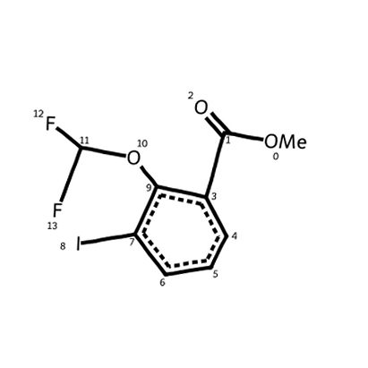 COC(=O)c1cccc(I)c1OC(F)F